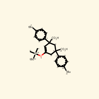 CC(C)(C)c1ccc(C2(C(=O)O)C=C(O[Si](C)(C)C(C)(C)C)CC(C(=O)O)(c3ccc(C(C)(C)C)cc3)C2)cc1